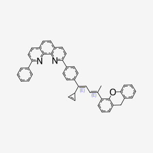 C/C(=C\C=C(\c1ccc(-c2ccc3ccc4ccc(-c5ccccc5)nc4c3n2)cc1)C1C=C1)c1cccc2c1Oc1ccccc1C2